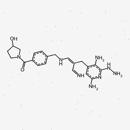 N=C/C(=C\NCc1ccc(C(=O)N2CCC(O)C2)cc1)Cc1cc(N)nc(NN)c1N